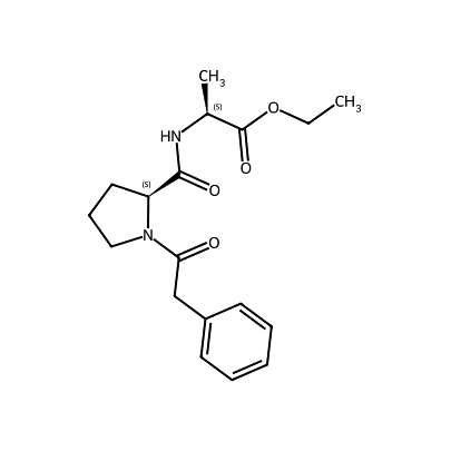 CCOC(=O)[C@H](C)NC(=O)[C@@H]1CCCN1C(=O)Cc1ccccc1